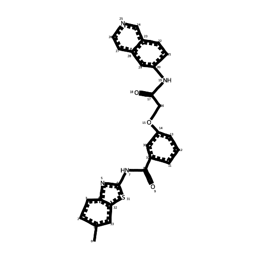 Cc1ccc2nc(NC(=O)c3cccc(OCC(=O)Nc4ccc5cnccc5c4)c3)sc2c1